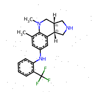 Cc1cc(Nc2ccccc2C(F)(F)F)cc2c1N(C)C[C@@H]1CNC[C@H]21